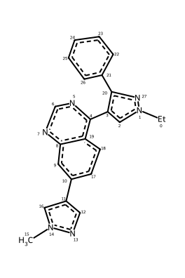 CCn1cc(-c2ncnc3cc(-c4cnn(C)c4)ccc23)c(-c2ccccc2)n1